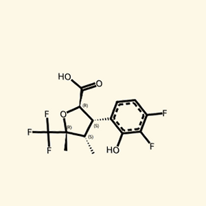 C[C@H]1[C@@H](c2ccc(F)c(F)c2O)[C@H](C(=O)O)O[C@@]1(C)C(F)(F)F